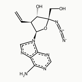 C=C[C@@H]1[C@H](n2cnc3c(N)ncnc32)O[C@@](CO)(N=[N+]=[N-])[C@H]1O